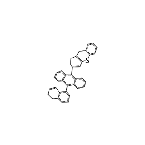 C1=Cc2c(cccc2-c2c3ccccc3c(C3=CC4=C(CC3)Cc3ccccc3S4)c3ccccc23)CC1